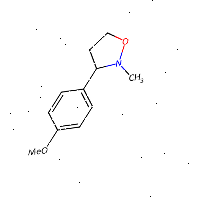 COc1ccc(C2CCON2C)cc1